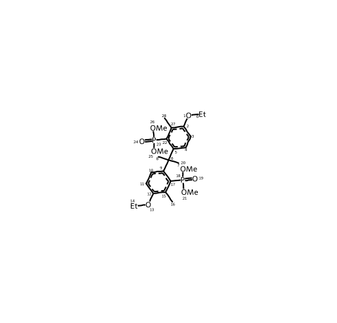 CCOc1ccc(C(C)(C)c2ccc(OCC)c(C)c2P(=O)(OC)OC)c(P(=O)(OC)OC)c1C